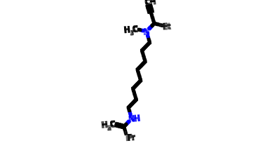 C#CC(CC)N(C)CCCCCCCCNC(=C)C(C)C